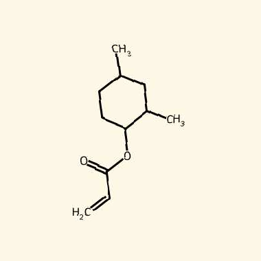 C=CC(=O)OC1CCC(C)CC1C